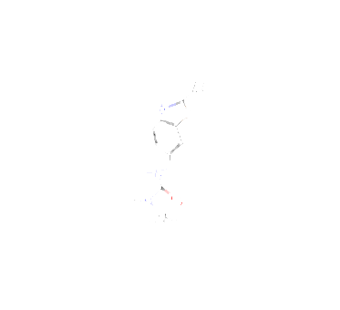 CCc1nc2ccc(CNC(=O)N(C)OC)cc2s1